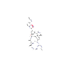 C=C/C=C\C1=CC=CC(=N/C(/C=C\C)c2cc(Cl)c3c(c2)C(/C(Cl)=C\C(=C)C)c2c(Cl)cc4cc2C3/C(Cl)=C\C(=C)C(=O)/C2=C\C(=C)/C=C\C=C/C=C(\C=C/C=C)/N=C/4C2)/C1=C\C